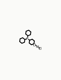 C1CCC(P(C2CCCCC2)C2CCCCC2)CC1.[Cl][Ni][Cl]